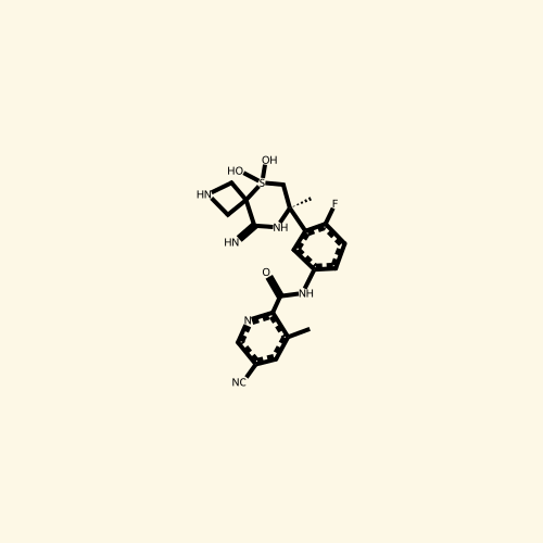 Cc1cc(C#N)cnc1C(=O)Nc1ccc(F)c([C@]2(C)CS(O)(O)C3(CNC3)C(=N)N2)c1